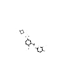 COc1ccc(S(=O)(=O)N[C@H]2C[C@@](C)(O)C2)cc1C(=O)Nc1ccc(F)c(C)n1